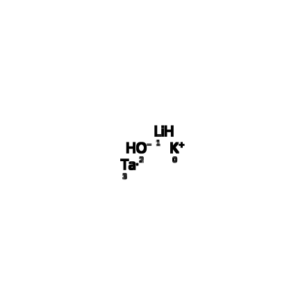 [K+].[LiH].[OH-].[Ta]